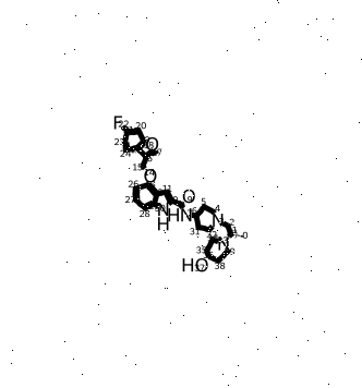 C[C@@H](CN1CCC(NC(=O)c2cc3c(OCc4coc5cc(F)ccc45)cccc3[nH]2)CC1)N1CCC(O)CC1